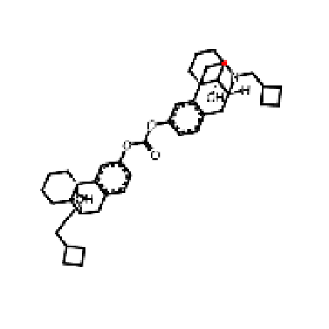 O=C(Oc1ccc2c(c1)[C@@]13CCCC[C@@]1(O)C(C2)N(CC1CCC1)CC3)Oc1ccc2c(c1)[C@@]13CCCC[C@@]1(O)[C@@H](C2)N(CC1CCC1)CC3